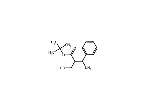 CC(C)(C)OC(=O)C(CO)C(N)c1ccccc1